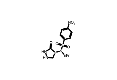 CCCN(N1CNNC1=O)S(=O)(=O)c1ccc([N+](=O)[O-])cc1